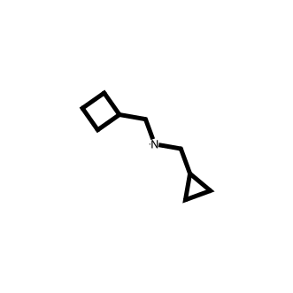 C1CC(C[N]CC2CC2)C1